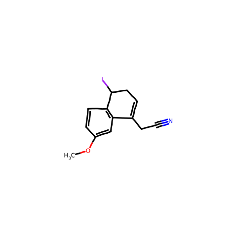 COc1ccc2c(c1)C(CC#N)=CCC2I